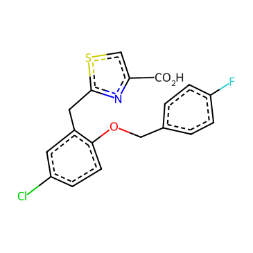 O=C(O)c1csc(Cc2cc(Cl)ccc2OCc2ccc(F)cc2)n1